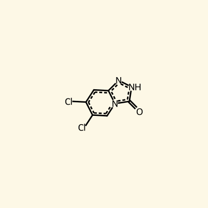 O=c1[nH]nc2cc(Cl)c(Cl)cn12